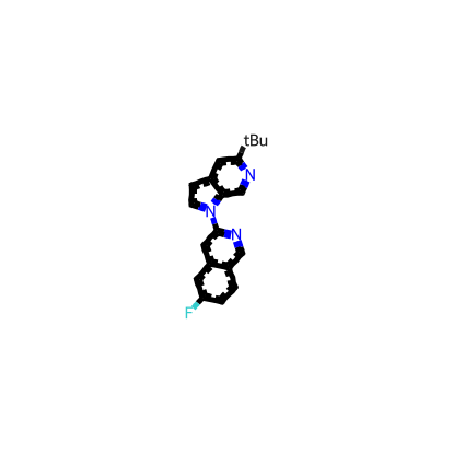 CC(C)(C)c1cc2ccn(-c3cc4cc(F)ccc4cn3)c2cn1